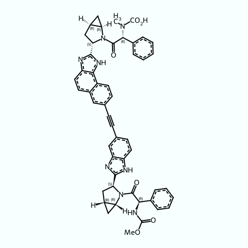 COC(=O)N[C@@H](C(=O)N1[C@@H]2C[C@@H]2C[C@H]1c1nc2cc(C#Cc3ccc4c(ccc5nc([C@@H]6C[C@H]7C[C@H]7N6C(=O)[C@@H](c6ccccc6)N(C)C(=O)O)[nH]c54)c3)ccc2[nH]1)c1ccccc1